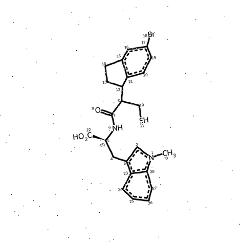 Cn1cc(C[C@H](NC(=O)C(CS)C2CCc3cc(Br)ccc32)C(=O)O)c2ccccc21